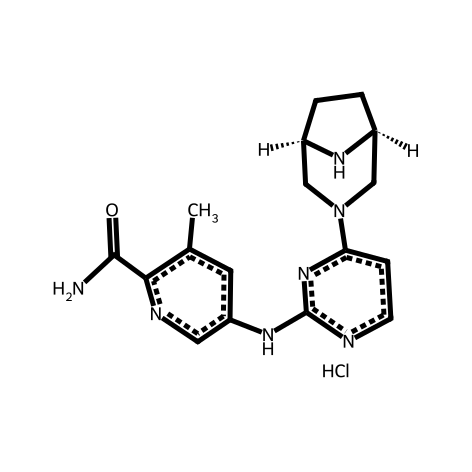 Cc1cc(Nc2nccc(N3C[C@H]4CC[C@@H](C3)N4)n2)cnc1C(N)=O.Cl